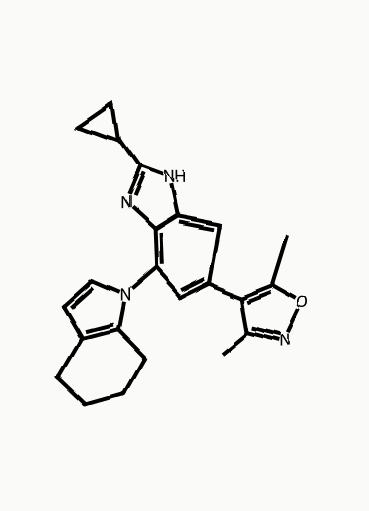 Cc1noc(C)c1-c1cc(-n2ccc3c2CCCC3)c2nc(C3CC3)[nH]c2c1